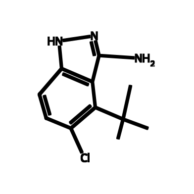 CC(C)(C)c1c(Cl)ccc2[nH]nc(N)c12